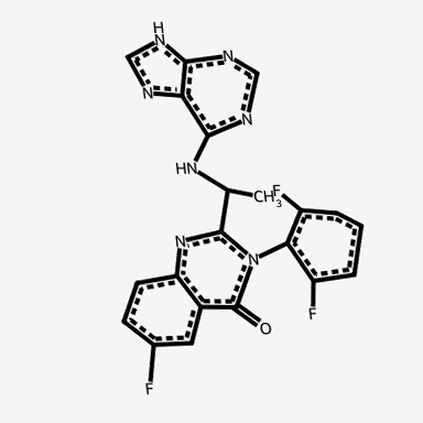 CC(Nc1ncnc2[nH]cnc12)c1nc2ccc(F)cc2c(=O)n1-c1c(F)cccc1F